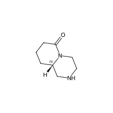 O=C1CCC[C@H]2CNCCN12